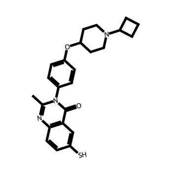 Cc1nc2ccc(S)cc2c(=O)n1-c1ccc(OC2CCN(C3CCC3)CC2)cc1